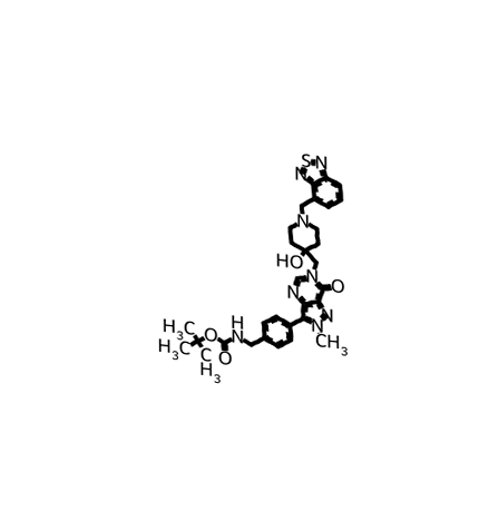 Cn1nc2c(=O)n(CC3(O)CCN(Cc4cccc5nsnc45)CC3)cnc2c1-c1ccc(CNC(=O)OC(C)(C)C)cc1